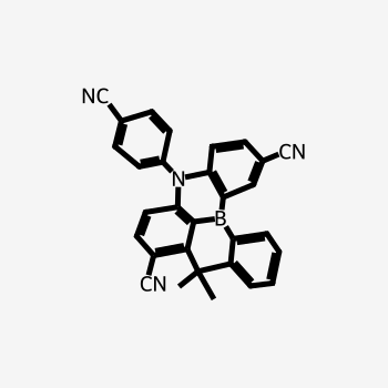 CC1(C)c2ccccc2B2c3cc(C#N)ccc3N(c3ccc(C#N)cc3)c3ccc(C#N)c1c32